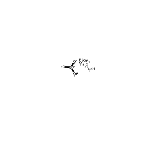 O.O.O.[NaH].[O-][Br+2]([O-])O